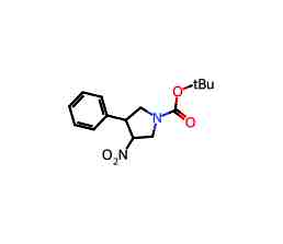 CC(C)(C)OC(=O)N1CC(c2ccccc2)C([N+](=O)[O-])C1